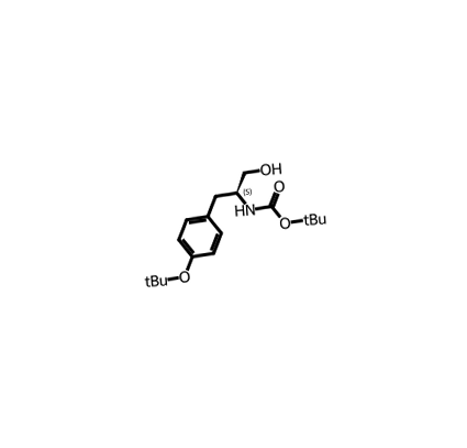 CC(C)(C)OC(=O)N[C@H](CO)Cc1ccc(OC(C)(C)C)cc1